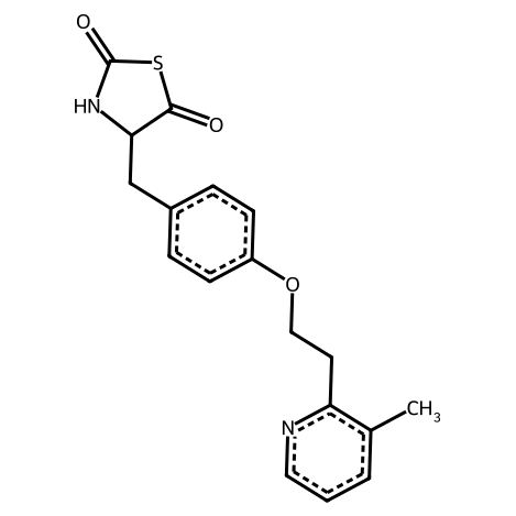 Cc1cccnc1CCOc1ccc(CC2NC(=O)SC2=O)cc1